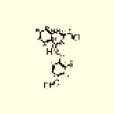 CCOc1ccc(CNc2nc(CCl)nc3ccccc23)c(F)c1